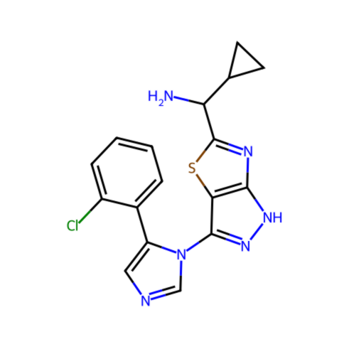 NC(c1nc2[nH]nc(-n3cncc3-c3ccccc3Cl)c2s1)C1CC1